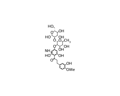 COc1ccc(CCC(=O)c2c(O)cc(O[C@H]3[C@H](O[C@@H]4[C@@H](O)[C@H](O)[C@@H](CO)O[C@H]4O)O[C@@H](C)[C@H](O)[C@H]3O)cc2O)cc1O.N